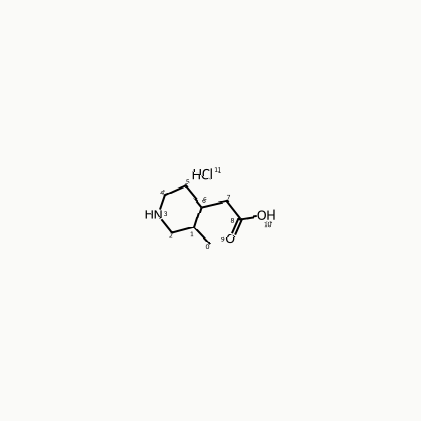 CC1CNCCC1CC(=O)O.Cl